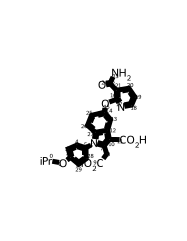 CC(C)Oc1ccc(-n2c(CC(=O)O)c(C(=O)O)c3cc(Oc4ncccc4C(N)=O)ccc32)cc1